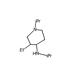 CCC1CN(C(C)C)CCC1NC(C)C